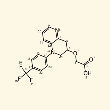 O=C(O)COC1Cc2ncccc2N(c2ccc(C(F)(F)F)cc2)C1